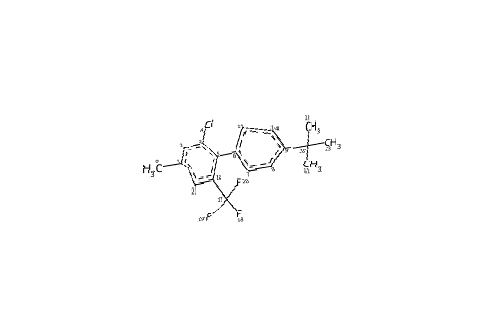 Cc1cc(Cl)c(-c2ccc(C(C)(C)C)cc2)c(C(F)(F)F)c1